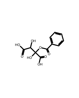 O=C(OC(O)(C(=O)O)C(O)C(=O)O)c1ccccc1